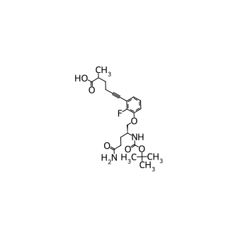 CC(CCC#Cc1cccc(OC[C@H](CCC(N)=O)NC(=O)OC(C)(C)C)c1F)C(=O)O